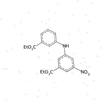 CCOC(=O)c1cccc(Nc2cc(C(=O)OCC)cc([N+](=O)[O-])c2)c1